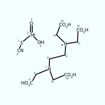 N#CS[Se](=O)O.O=C(O)CN(CCN(CC(=O)O)CC(=O)O)CC(=O)O